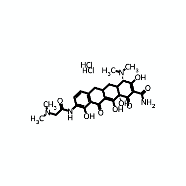 CN(C)CC(=O)Nc1ccc2c(c1O)C(=O)C1=C(O)[C@]3(O)C(=O)C(C(N)=O)=C(O)[C@@H](N(C)C)C3CC1C2.Cl.Cl